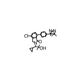 Cc1nnc(-c2ccc(-c3ccc(Cl)c4c3C(=O)N(C(C3CC3)C(C)(C)O)C4)cc2)o1